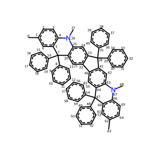 Cc1ccc2c(c1)C(c1ccccc1)(c1ccccc1)c1cc3c(cc1N2C)C(c1ccccc1)(c1ccccc1)c1cc2c(cc1-3)C(c1ccccc1)(c1ccccc1)c1cc(C)ccc1N2C